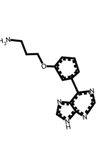 NCCCOc1cccc(-c2ncnc3[nH]cnc23)c1